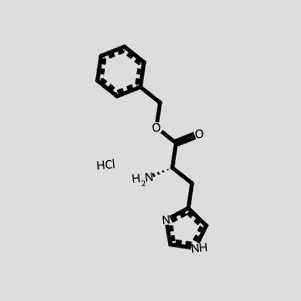 Cl.N[C@@H](Cc1c[nH]cn1)C(=O)OCc1ccccc1